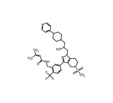 CC(C)=CC(=O)NCc1cc(-c2nn(CC(O)CN3CCN(c4ccncc4)CC3)c3c2CN(S(C)(=O)=O)CC3)ccc1C(F)(F)F